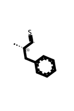 C[C@H]([C]=S)Cc1ccccc1